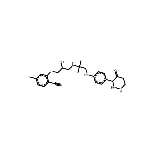 CC(C)(CNc1ccc(C2NNCCC2=O)cc1)NCC(O)COc1cc(Cl)ccc1C#N